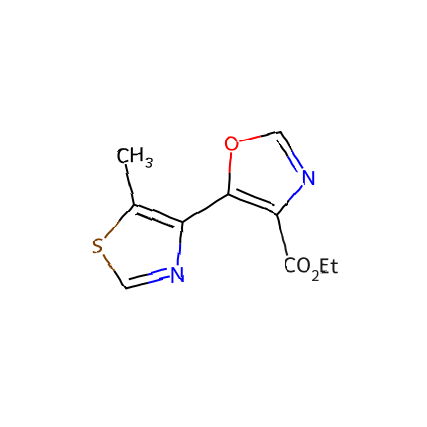 CCOC(=O)c1ncoc1-c1ncsc1C